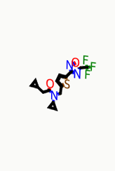 O=C(CC1CC1)N(Cc1ccc(-c2noc(C(F)(F)F)n2)s1)C1CC1